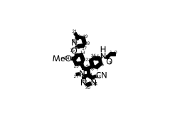 C=CC(=O)Nc1ccc(-c2c(-c3ccc(Oc4cccc(C)n4)c(OC)c3)n(C)c3ncnc(C#N)c23)cc1